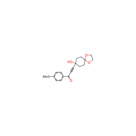 CSc1ccc(C(=O)C#CC2(O)CCC3(CC2)OCCO3)cc1